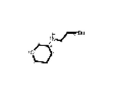 CC(C)(C)CCN[C@@H]1CCCOC1